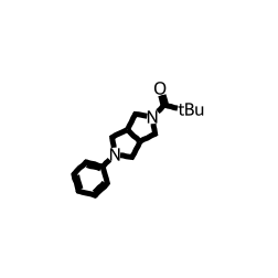 CC(C)(C)C(=O)N1CC2CN(c3ccccc3)CC2C1